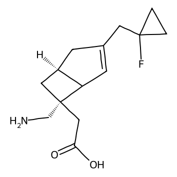 NC[C@]1(CC(=O)O)C[C@H]2CC(CC3(F)CC3)=CC21